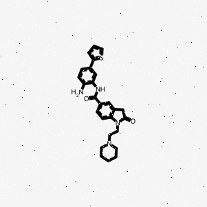 Nc1ccc(-c2cccs2)cc1NC(=O)c1ccc2c(c1)CC(=O)N2CCN1CCCCC1